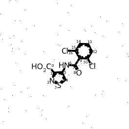 O=C(O)c1nscc1NC(=O)c1c(Cl)cccc1Cl